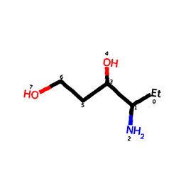 CCC(N)C(O)CCO